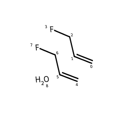 C=CCF.C=CCF.O